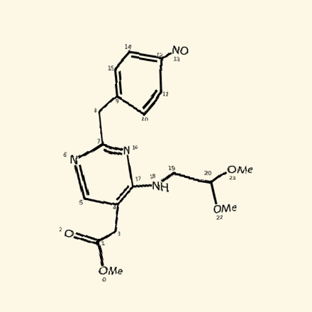 COC(=O)Cc1cnc(Cc2ccc(N=O)cc2)nc1NCC(OC)OC